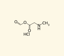 CNCC(=O)OC=O.Cl